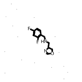 Fc1ccc(CNCC2CO[C]=N2)c(F)c1